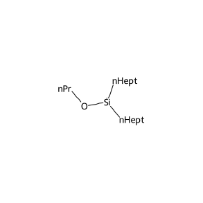 CCCCCCC[Si](CCCCCCC)OCCC